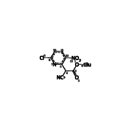 CC(C)(C)OC(=O)C(C#N)c1nc(Cl)ccc1[N+](=O)[O-]